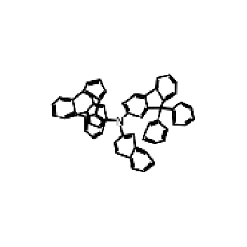 c1ccc(C2(c3ccccc3)c3ccccc3-c3ccc(N(c4ccc5c(c4)-c4c6cccc4-c4cccc-5c4-c4ccccc4-6)c4ccc5ccccc5c4)cc32)cc1